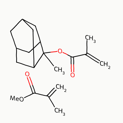 C=C(C)C(=O)OC.C=C(C)C(=O)OC1(C)C2CC3CC(C2)CC1C3